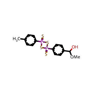 COC(O)c1ccc(P2(=S)SP(=S)(c3ccc(C)cc3)S2)cc1